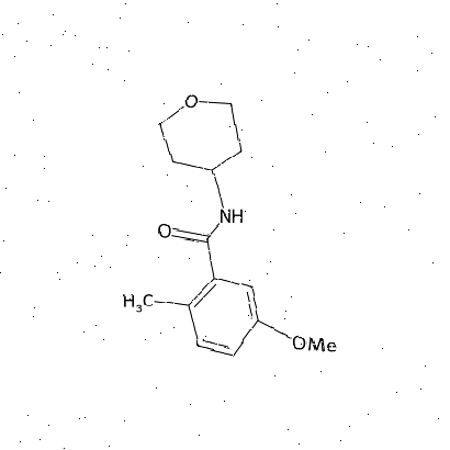 COc1ccc(C)c(C(=O)NC2CCOCC2)c1